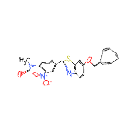 CN(C=O)c1ccc(-c2nc3ccc(OCc4ccccc4)cc3s2)cc1[N+](=O)[O-]